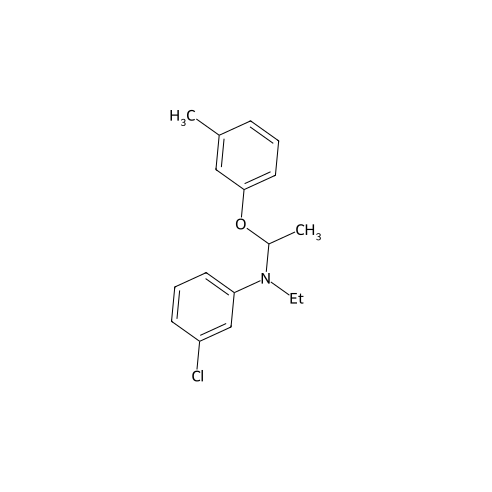 CCN(c1cccc(Cl)c1)C(C)Oc1cccc(C)c1